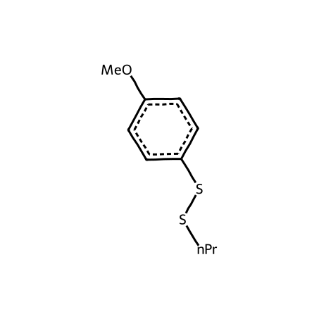 [CH2]Oc1ccc(SSCCC)cc1